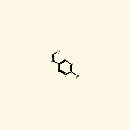 Oc1ccc(/C=[C]\Br)cc1